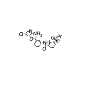 CC(Oc1cc(Cl)cnc1N)c1cccc(NC(=O)c2cccc(S(=O)(=O)C(C)C)c2)c1